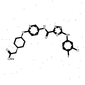 COC(=O)C[C@H]1CC[C@@H](Oc2ccc(NC(=O)c3nnc(Nc4ccc(F)c(Cl)c4)o3)cn2)CC1